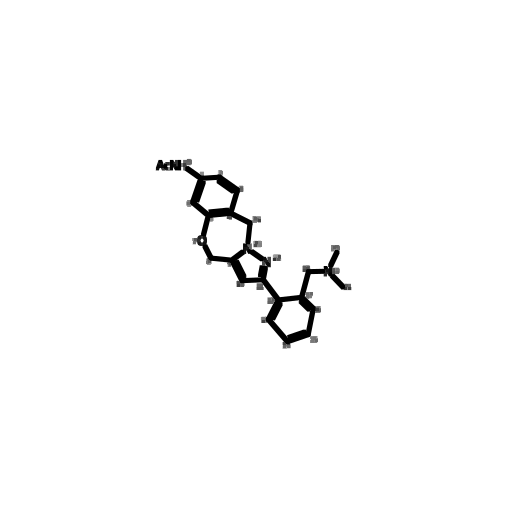 CC(=O)Nc1ccc2c(c1)OCc1cc(-c3ccccc3CN(C)C)nn1C2